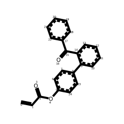 C=CC(=O)Oc1ccc(-c2ccccc2C(=O)c2ccccc2)cc1